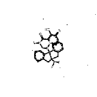 CN1CN(C23c4ccccc4CC2(C(F)F)Cc2ccccc23)n2ccc(=O)c(O)c2C1=O